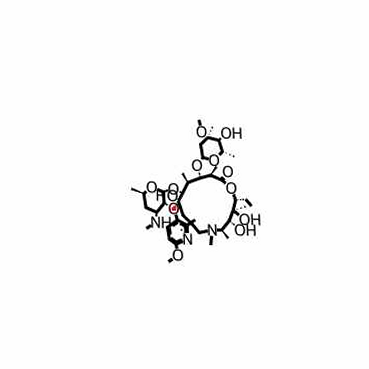 CC[C@H]1OC(=O)[C@H](C)[C@@H](O[C@H]2C[C@@](C)(OC)[C@@H](O)[C@H](C)O2)[C@H](C)[C@@H](O[C@@H]2O[C@H](C)C[C@H](NC)[C@H]2Oc2ccc(OC)nc2C)[C@](C)(O)C[C@@H](C)CN(C)[C@H](C)[C@@H](O)[C@]1(C)O